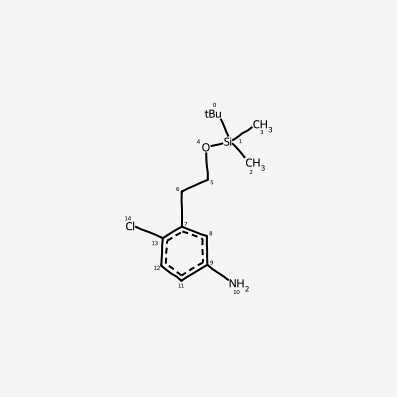 CC(C)(C)[Si](C)(C)OCCc1cc(N)ccc1Cl